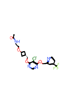 CC(=O)NCCO[C@H]1C[C@H](COc2ncnc(OCc3cc(C(F)(F)F)ccn3)c2Cl)C1